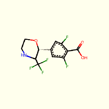 O=C(O)c1c(F)cc([C@H]2OCCNC2C(F)(F)F)cc1F